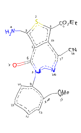 CCOC(=O)c1sc(N)c2c(=O)n(-c3ccccc3OC)nc(C#N)c12